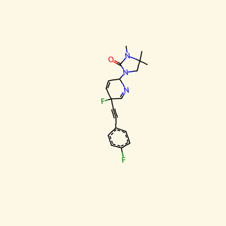 CN1C(=O)N(C2C=CC(F)(C#Cc3ccc(F)cc3)C=N2)CC1(C)C